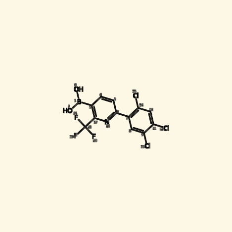 OB(O)c1ccc(-c2cc(Cl)c(Cl)cc2Cl)nc1C(F)(F)F